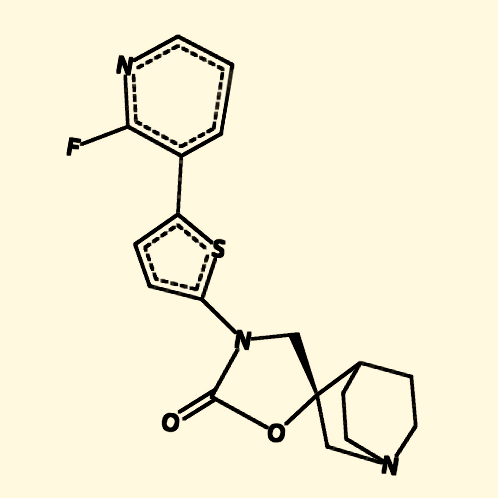 O=C1O[C@]2(CN3CCC2CC3)CN1c1ccc(-c2cccnc2F)s1